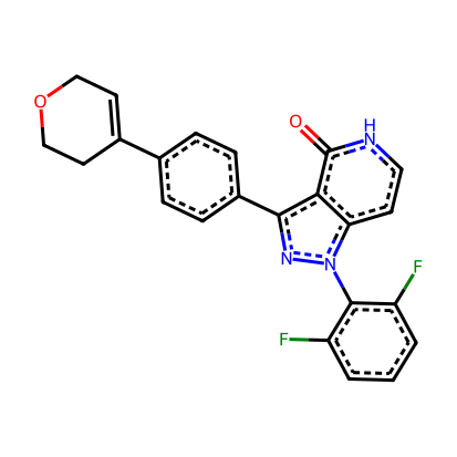 O=c1[nH]ccc2c1c(-c1ccc(C3=CCOCC3)cc1)nn2-c1c(F)cccc1F